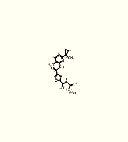 CC(NC(=O)OC(C)(C)C)c1cc(C(=O)Nc2nc(C3(C)CC3)ccc2N)no1